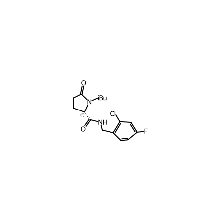 CCC(C)N1C(=O)CC[C@H]1C(=O)NCc1ccc(F)cc1Cl